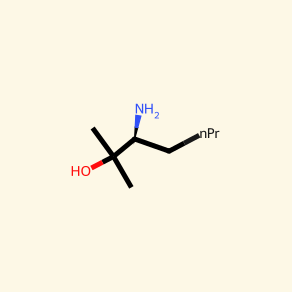 CCCC[C@H](N)C(C)(C)O